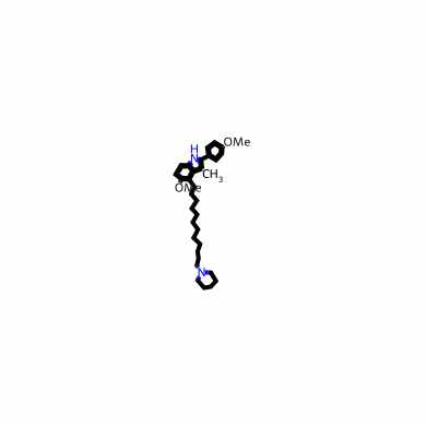 COc1ccc(-c2[nH]c3ccc(OC)c(CCCCCCCCCCCCN4CCCCC4)c3c2C)cc1